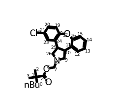 CCCCC(C)(C)C(=O)OCN1CC2c3ccccc3Oc3ccc(Cl)cc3C2C1